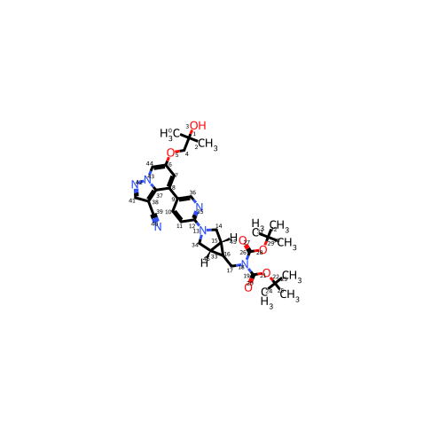 CC(C)(O)COc1cc(-c2ccc(N3C[C@@H]4C(CN(C(=O)OC(C)(C)C)C(=O)OC(C)(C)C)[C@@H]4C3)nc2)c2c(C#N)cnn2c1